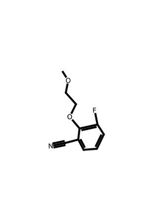 COCCOc1c(F)cccc1C#N